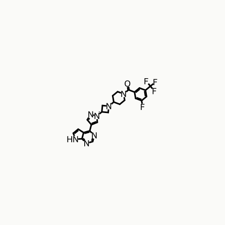 O=C(c1cc(F)cc(C(F)(F)F)c1)N1CCC(N2C[C](n3cc(-c4ncnc5[nH]ccc45)cn3)C2)CC1